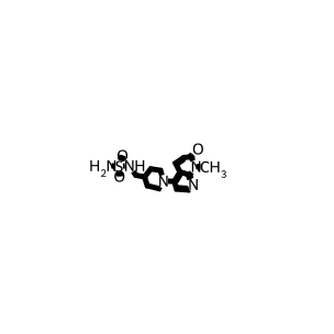 Cn1c(=O)ccc2c(N3CCC(CNS(N)(=O)=O)CC3)ccnc21